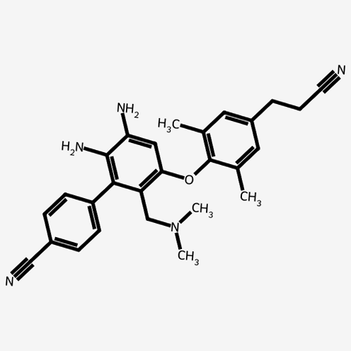 Cc1cc(CCC#N)cc(C)c1Oc1cc(N)c(N)c(-c2ccc(C#N)cc2)c1CN(C)C